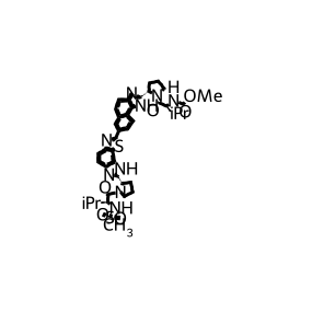 COC(=O)N[C@H](C(=O)N1CCC[C@H]1c1nc2ccc3cc(-c4nc5ccc6nc([C@@H]7CCCN7C(=O)[C@@H](NS(C)(=O)=O)C(C)C)[nH]c6c5s4)ccc3c2[nH]1)C(C)C